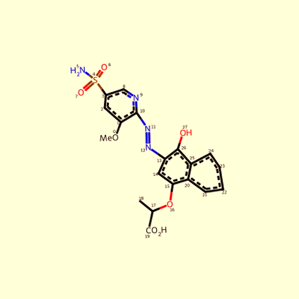 COc1cc(S(N)(=O)=O)cnc1N=Nc1cc(OC(C)C(=O)O)c2ccccc2c1O